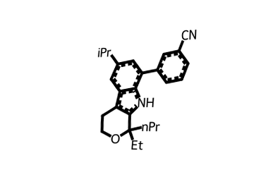 CCCC1(CC)OCCc2c1[nH]c1c(-c3cccc(C#N)c3)cc(C(C)C)cc21